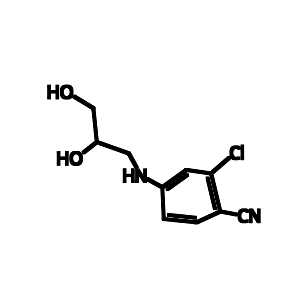 N#Cc1ccc(NCC(O)CO)cc1Cl